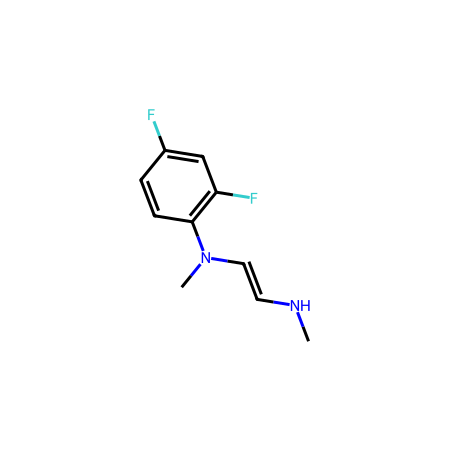 CNC=CN(C)c1ccc(F)cc1F